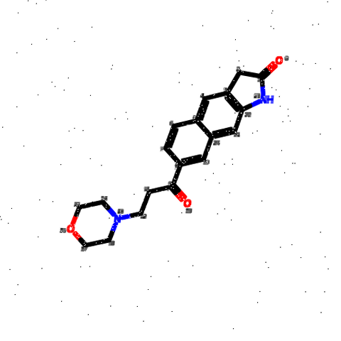 O=C1Cc2cc3ccc(C(=O)CCN4CCOCC4)cc3cc2N1